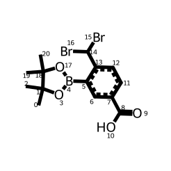 CC1(C)OB(c2cc(C(=O)O)ccc2C(Br)Br)OC1(C)C